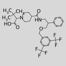 CC(C)(C)C(C(=O)O)N1CCC(C(=O)NCC(COCc2cc(C(F)(F)F)cc(C(F)(F)F)c2)c2ccccc2)CC1